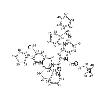 Cc1cc2c(cc(C(=O)N(Cc3cc(Cl)c(-c4ccccc4)cn3)[C@@H]3CCCc4cccnc43)n2COCC[Si](C)(C)C)nc1N=C(c1ccccc1)c1ccccc1